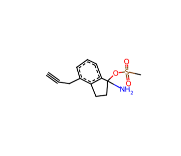 C#CCc1cccc2c1CCC2(N)OS(C)(=O)=O